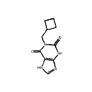 O=c1[nH]c2nc[nH]c2c(=O)n1CC1CCC1